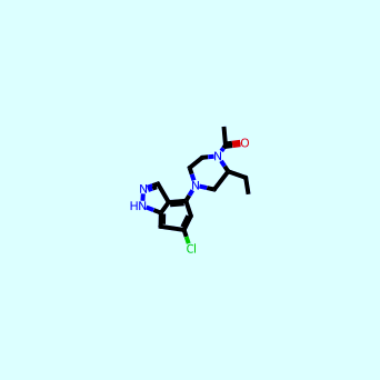 CCC1CN(c2cc(Cl)cc3[nH]ncc23)CCN1C(C)=O